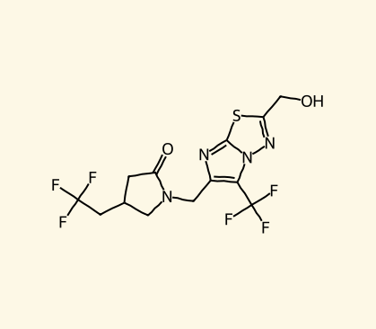 O=C1CC(CC(F)(F)F)CN1Cc1nc2sc(CO)nn2c1C(F)(F)F